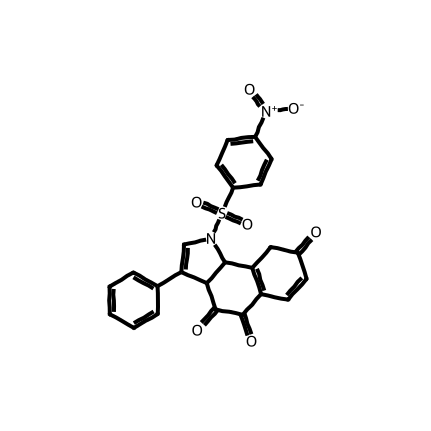 O=C1C=CC2=C(C1)C1C(C(=O)C2=O)C(c2ccccc2)=CN1S(=O)(=O)c1ccc([N+](=O)[O-])cc1